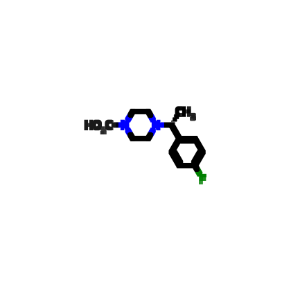 C[C@H](c1ccc(F)cc1)N1CCN(C(=O)O)CC1